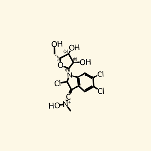 C[N+](O)=C=C1c2cc(Cl)c(Cl)cc2N([C@@H]2O[C@H](CO)[C@@H](O)[C@H]2O)C1Cl